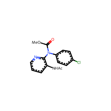 COC(=O)N(c1ccc(Cl)cc1)c1ncccc1NC(C)=O